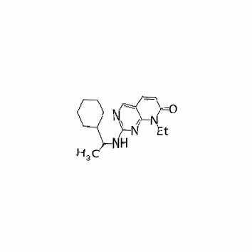 CCn1c(=O)ccc2cnc(NC(C)C3CCCCC3)nc21